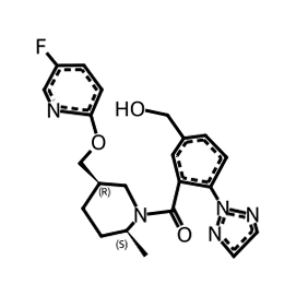 C[C@H]1CC[C@@H](COc2ccc(F)cn2)CN1C(=O)c1cc(CO)ccc1-n1nccn1